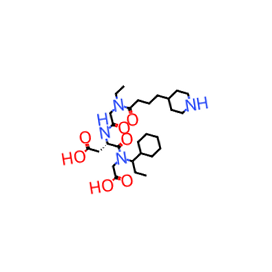 CCC(C1CCCCC1)N(CC(=O)O)C(=O)[C@H](CC(=O)O)NC(=O)CN(CC)C(=O)CCCC1CCNCC1